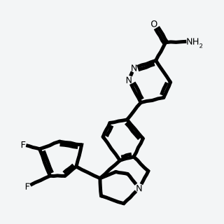 NC(=O)c1ccc(-c2ccc3c(c2)CN2CCC3(c3ccc(F)c(F)c3)CC2)nn1